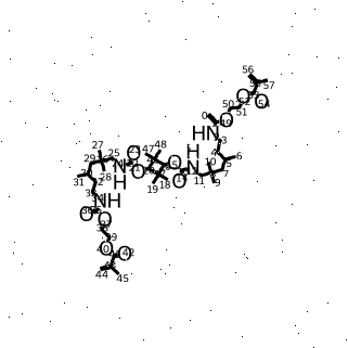 C=C(NCCC(C)CC(C)(C)CNC(=O)OC1C(C)(C)C(OC(=O)NCC(C)(C)CC(C)CCNC(=O)OCCOC(=O)C(=C)C)C1(C)C)OCCOC(=O)C(=C)C